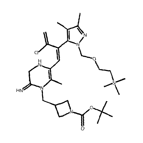 C=C(Cl)/C(=C\C1=C(C)N(CC2CN(C(=O)OC(C)(C)C)C2)C(=N)CN1)c1c(C)c(C)nn1COCC[Si](C)(C)C